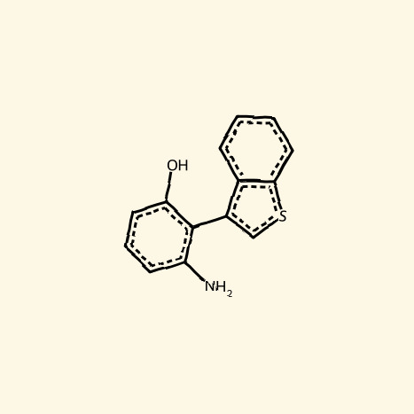 Nc1cccc(O)c1-c1csc2ccccc12